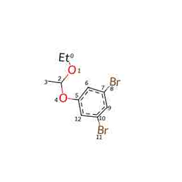 CCOC(C)Oc1cc(Br)cc(Br)c1